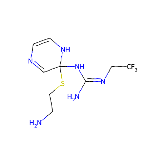 NCCSC1(N/C(N)=N\CC(F)(F)F)C=NC=CN1